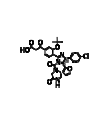 CC(C)(C)Oc1cc(C(=O)CC(=O)O)ccc1C1=N[C@@H](c2ccc(Cl)cc2)[C@@H](c2ccco2)N1C(=O)N1CCNC(=O)C1